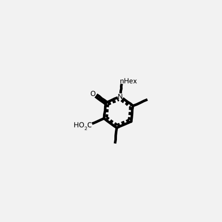 CCCCCCn1c(C)cc(C)c(C(=O)O)c1=O